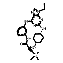 CCn1cnc2c(Nc3cccc(NC(=O)C#C[Si](C)(C)C)c3)nc(N[C@H]3CC[C@H](O)CC3)nc21